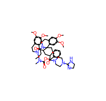 CCN1CCc2cc(OC)c(OC)cc2C1C1CC(C(=O)N2CCN(C3=NCCN3)CC2)CCC12c1cc(OC)c(OC)cc1CCN2C(=O)CCN(C)C(=O)OCc1ccccc1